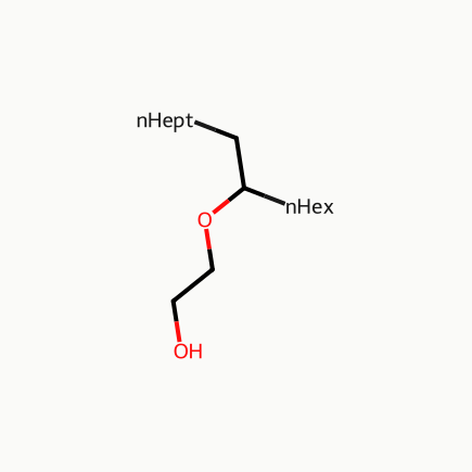 CCCCCCCCC(CCCCCC)OCCO